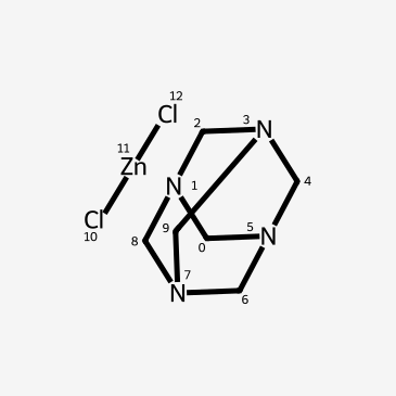 C1N2CN3CN1CN(C2)C3.[Cl][Zn][Cl]